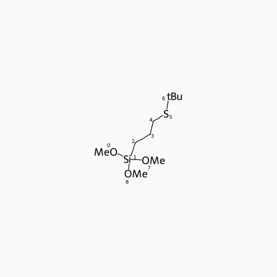 CO[Si](CCCSC(C)(C)C)(OC)OC